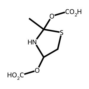 CC1(OC(=O)O)NC(OC(=O)O)CS1